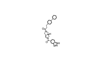 O=C(c1ccc2[nH]nnc2c1)N1C=C2CN(C(=O)CCc3ccc(-c4ccccc4)cc3)C[C@@H]2C1